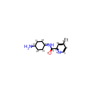 CCc1ccnc(C(=O)NC2CCC(N)CC2)c1